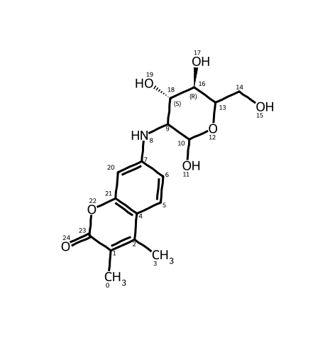 Cc1c(C)c2ccc(NC3C(O)OC(CO)[C@H](O)[C@H]3O)cc2oc1=O